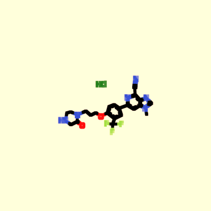 Cl.Cn1cnc2c(C#N)nc(-c3ccc(OCCCN4CCNCC4=O)c(C(F)(F)F)c3)cc21